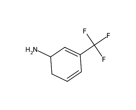 NC1C=C(C(F)(F)F)C=CC1